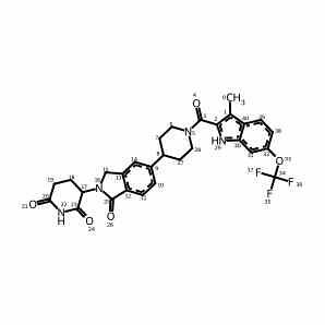 Cc1c(C(=O)N2CCC(c3ccc4c(c3)CN(C3CCC(=O)NC3=O)C4=O)CC2)[nH]c2cc(OC(F)(F)F)ccc12